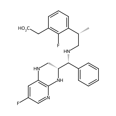 C[C@H](CN[C@H](c1ccccc1)[C@H]1CNc2cc(F)cnc2N1)c1cccc(CC(=O)O)c1F